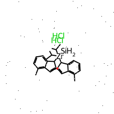 CC1=Cc2c(C)cccc2[CH]1[Zr](=[SiH2])([CH](C)C)([CH](C)C)[CH]1C(C)=Cc2c(C)cccc21.Cl.Cl